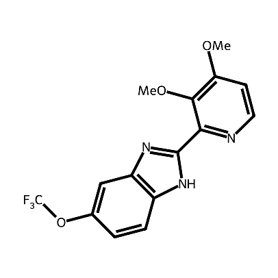 COc1ccnc(-c2nc3cc(OC(F)(F)F)ccc3[nH]2)c1OC